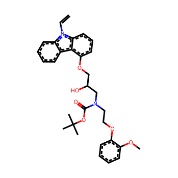 C=Cn1c2ccccc2c2c(OCC(O)CN(CCOc3ccccc3OC)C(=O)OC(C)(C)C)cccc21